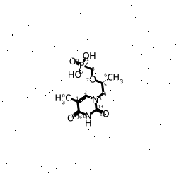 Cc1cn(C[C@@H](C)OCP(=O)(O)O)c(=O)[nH]c1=O